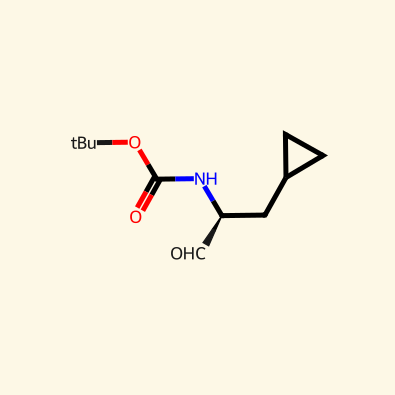 CC(C)(C)OC(=O)N[C@H](C=O)CC1CC1